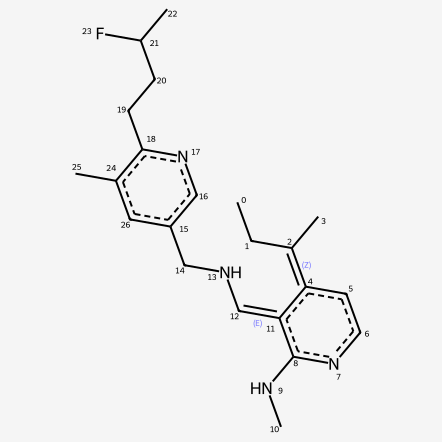 CC/C(C)=c1/ccnc(NC)/c1=C/NCc1cnc(CCC(C)F)c(C)c1